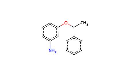 CC(Oc1cccc(N)c1)c1ccccc1